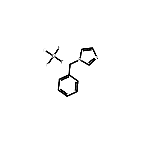 F[B-](F)(F)F.c1ccc(Cn2ccnc2)cc1